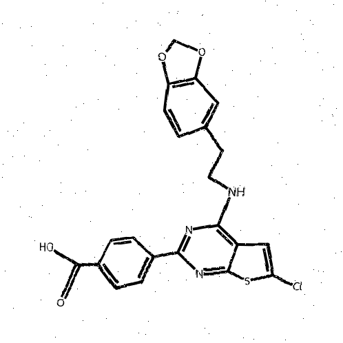 O=C(O)c1ccc(-c2nc(NCCc3ccc4c(c3)OCO4)c3cc(Cl)sc3n2)cc1